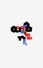 CC(C)C[C@H](N)B(O)O.O=C(O)[C@H](Cc1ccccc1)NS(=O)(=O)c1cccc2cccnc12